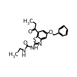 CCNC(=O)Nc1nc2cc(OCc3ccccc3)cc(C(=O)CC)c2s1